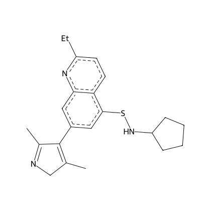 CCc1ccc2c(SNC3CCCC3)cc(C3=C(C)CN=C3C)cc2n1